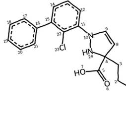 CCCCC1(C(=O)O)C=CN(c2cccc(-c3ccccc3)c2Cl)N1